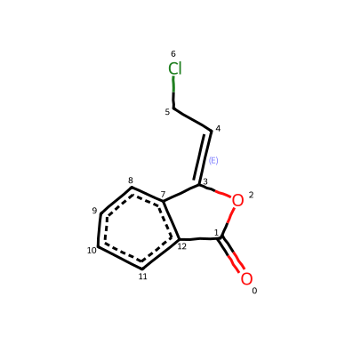 O=C1O/C(=C/CCl)c2ccccc21